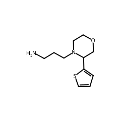 NCCCN1CCOCC1c1cccs1